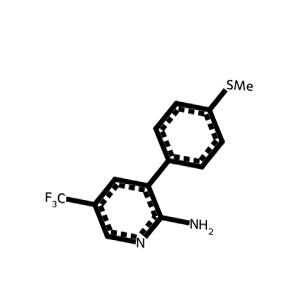 CSc1ccc(-c2cc(C(F)(F)F)cnc2N)cc1